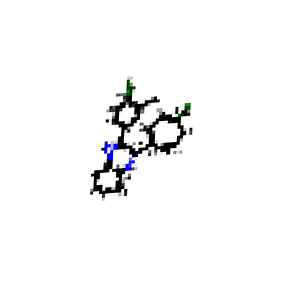 Cc1cc(-c2nc3ccccc3nc2C2=CC=C(F)CC=C2)ccc1F